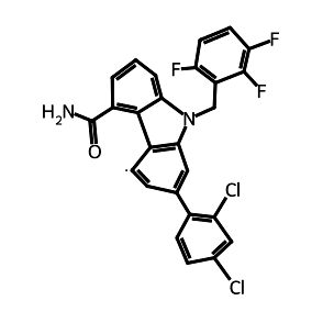 NC(=O)c1cccc2c1c1[c]cc(-c3ccc(Cl)cc3Cl)cc1n2Cc1c(F)ccc(F)c1F